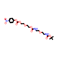 CC(C)(C)OC(=O)NCCOCCNC(=O)OCCOCCOC(=O)Oc1ccc([N+](=O)[O-])cc1